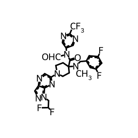 CN(Cc1cc(F)cc(F)c1)C1(C(=O)N(C=O)c2cnc(C(F)(F)F)nc2)CCN(c2cnc3cnn(CC(F)F)c3n2)CC1